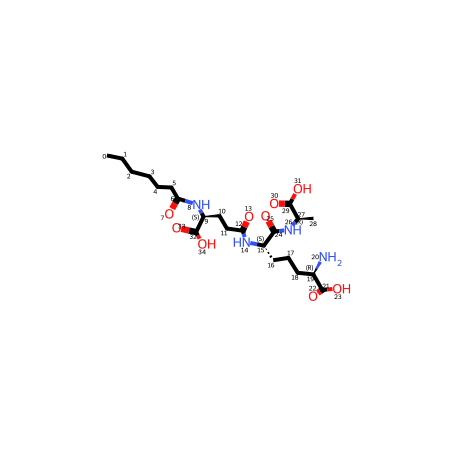 CCCCCCC(=O)N[C@@H](CCC(=O)N[C@@H](CCC[C@@H](N)C(=O)O)C(=O)N[C@H](C)C(=O)O)C(=O)O